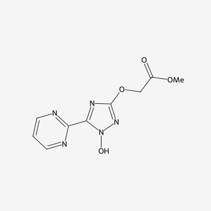 COC(=O)COc1nc(-c2ncccn2)n(O)n1